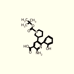 CC(C)(C)OC(=O)N1CCCC(c2cc(C(=O)O)c(N)nc2-c2ccccc2O)C1